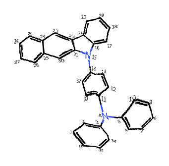 c1ccc(N(c2ccccc2)c2ccc(-n3c4ccccc4c4cc5ccccc5cc43)cc2)cc1